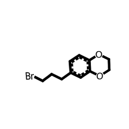 BrCCCc1ccc2c(c1)OCCO2